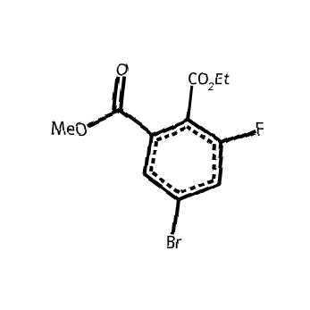 CCOC(=O)c1c(F)cc(Br)cc1C(=O)OC